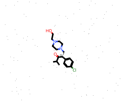 CC(C)C(=O)[C@H](CN1CCN(CCO)CC1)c1ccc(Cl)cc1